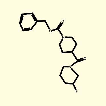 O=C(OCc1ccccc1)N1CCC(C(=O)N2CCCC(F)C2)CC1